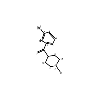 C=C(c1cccc(Br)n1)C1CCN(C)CC1